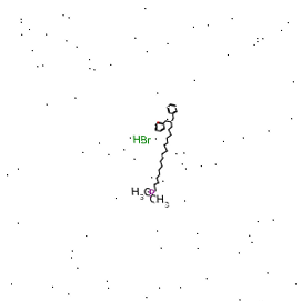 Br.CP(C)CCCCCCCCCCCCCCCCCC(Cc1ccccc1)Cc1ccccc1